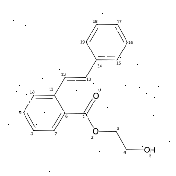 O=C(OCCO)c1ccccc1C=Cc1ccccc1